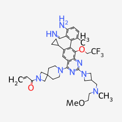 C=CC(=O)N1CC2(CCN(c3nc(N4CC(CN(C)CCOC)C4)nc4c(OCC(F)(F)F)c(-c5c(C)ccc(N)c5C=N)c(C5CC5)cc34)CC2)C1